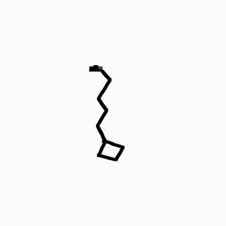 CCCCCCCC[C]1CCC1